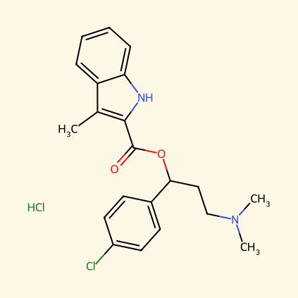 Cc1c(C(=O)OC(CCN(C)C)c2ccc(Cl)cc2)[nH]c2ccccc12.Cl